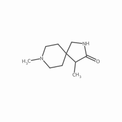 CC1C(=O)NCC12CCN(C)CC2